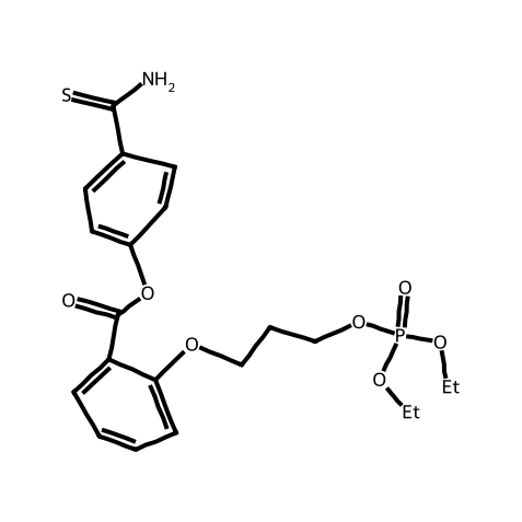 CCOP(=O)(OCC)OCCCOc1ccccc1C(=O)Oc1ccc(C(N)=S)cc1